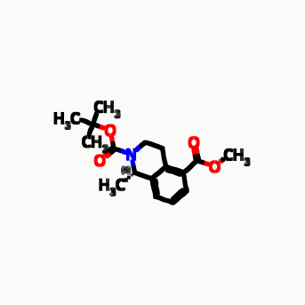 COC(=O)c1cccc2c1CCN(C(=O)OC(C)(C)C)[C@H]2C